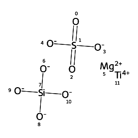 O=S(=O)([O-])[O-].[Mg+2].[O-][Si]([O-])([O-])[O-].[Ti+4]